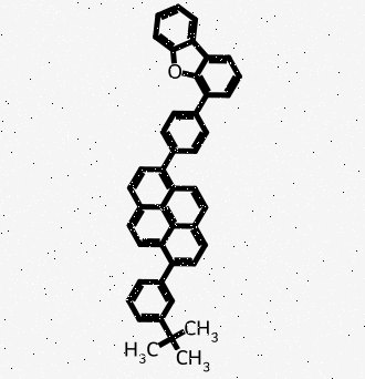 CC(C)(C)c1cccc(-c2ccc3ccc4c(-c5ccc(-c6cccc7c6oc6ccccc67)cc5)ccc5ccc2c3c54)c1